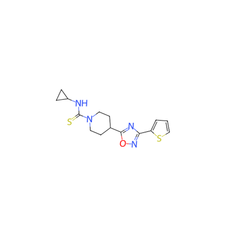 S=C(NC1CC1)N1CCC(c2nc(-c3cccs3)no2)CC1